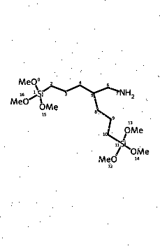 CO[Si](CCCC(CN)CCC[Si](OC)(OC)OC)(OC)OC